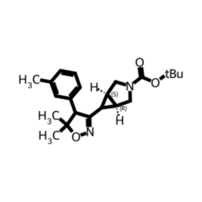 Cc1cccc(C2C(C3[C@H]4CN(C(=O)OC(C)(C)C)C[C@@H]34)=NOC2(C)C)c1